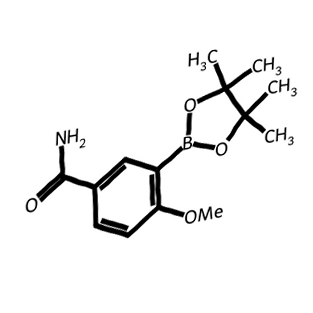 COc1ccc(C(N)=O)cc1B1OC(C)(C)C(C)(C)O1